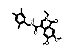 CCn1cc(C(=O)NCc2cc(C)c(C)cc2C)c2cc(OC)c(OC)cc2c1=O